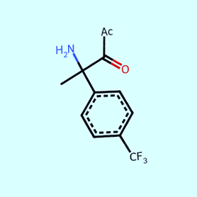 CC(=O)C(=O)C(C)(N)c1ccc(C(F)(F)F)cc1